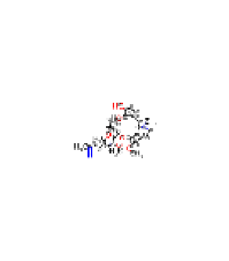 C=C(/C=C(/OC)C(OC)=C1Oc2cc3c(cc2OC)CCN(C)C3Cc2ccc(O)c(c2)O[C@H]2CC=C12)CCNC